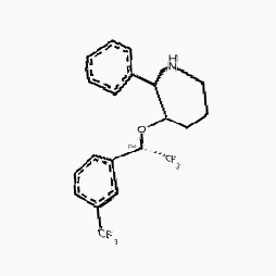 FC(F)(F)c1cccc([C@H](OC2CCCNC2c2ccccc2)C(F)(F)F)c1